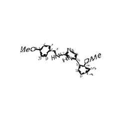 COc1ccc(CNc2ncc(-c3ccccc3OC)[nH]2)cc1